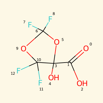 O=C(O)C1(O)OC(F)(F)OC1(F)F